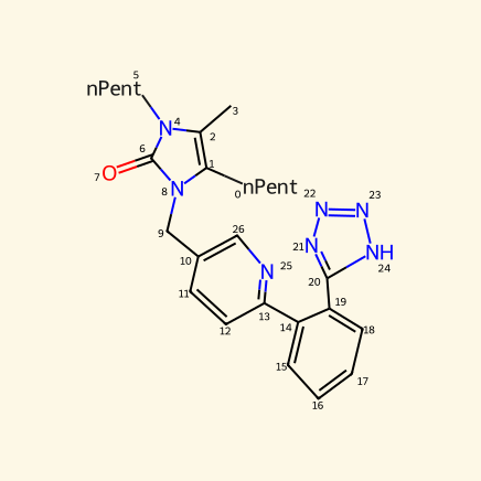 CCCCCc1c(C)n(CCCCC)c(=O)n1Cc1ccc(-c2ccccc2-c2nnn[nH]2)nc1